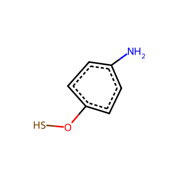 Nc1ccc(OS)cc1